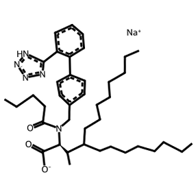 CCCCCCCCC(CCCCCCCC)C(C)[C@@H](C(=O)[O-])N(Cc1ccc(-c2ccccc2-c2nnn[nH]2)cc1)C(=O)CCCC.[Na+]